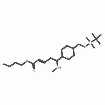 CCCCOC(=O)C=CCC(NC)C1CCC(CO[Si](C)(C)C(C)(C)C)CC1